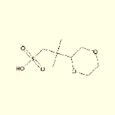 CC(C)(CS(=O)(=O)O)C1COCCO1